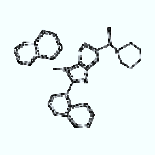 O=C(c1ccc2c(c1)nc(-c1cccc3ccccc13)n2Cc1cccc2ccccc12)N1CCCCC1